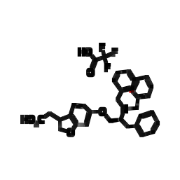 O=C(O)C(F)(F)F.O=C(O)CC1COc2cc(OC[C@H](Cc3ccccc3)N(Cc3ccccc3)Cc3ccccc3)ccc21